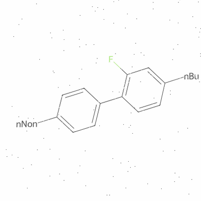 CCCCCCCCCc1ccc(-c2ccc(CCCC)cc2F)cc1